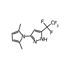 Cc1ccc(C)n1-c1cc(C(F)(F)C(F)(F)F)[nH]n1